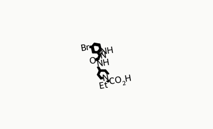 CCC(C(=O)O)N1CCC(CNC(=O)c2n[nH]c3ccc(Br)cc23)CC1